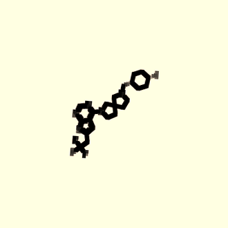 FC(F)(F)Cc1cc2c(N3CCC4(CCN(C[C@H]5CC[C@@H](I)CC5)C4)C3)ncnc2s1